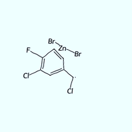 Fc1ccc([CH]Cl)cc1Cl.[Br][Zn][Br]